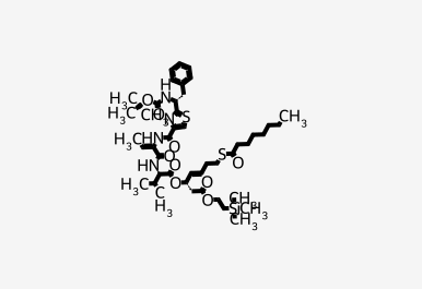 C/C=C(\NC(=O)c1csc([C@@H](Cc2ccccc2)NC(=O)OC(C)(C)C)n1)C(=O)N[C@H](C(=O)O[C@H](/C=C/CCSC(=O)CCCCCCC)CC(=O)OCC[Si](C)(C)C)C(C)C